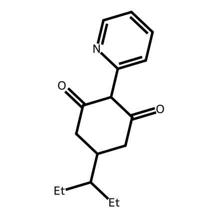 CCC(CC)C1CC(=O)C(c2ccccn2)C(=O)C1